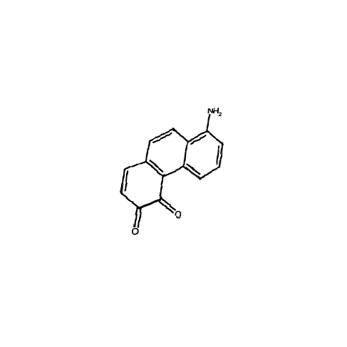 Nc1cccc2c3c(ccc12)C=CC(=O)C3=O